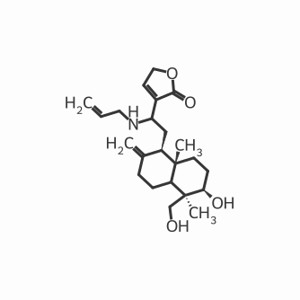 C=CCNC(C[C@@H]1C(=C)CCC2[C@](C)(CO)[C@H](O)CC[C@]21C)C1=CCOC1=O